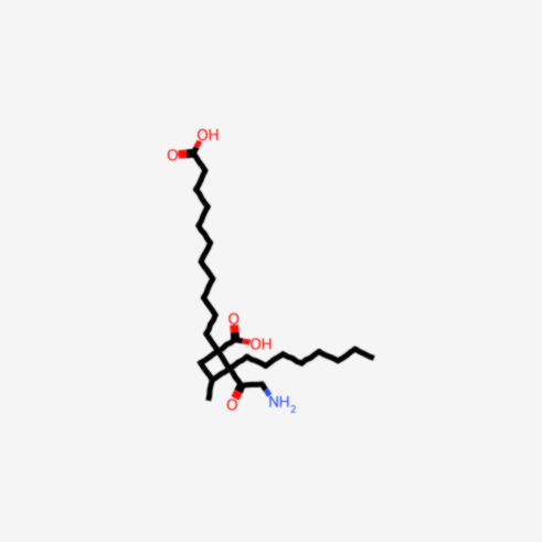 CCCCCCCCC1(C(=O)CN)C(C)CC1(CCCCCCCCCCC(=O)O)C(=O)O